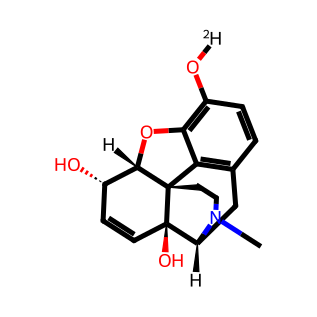 [2H]Oc1ccc2c3c1O[C@H]1[C@@H](O)C=C[C@@]4(O)[C@@H](C2)N(C)CC[C@]314